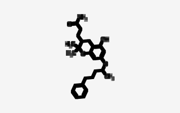 CC(CCCc1ccccc1)Oc1cc(O)c2c(c1)OC(C)(C)C(CCC(N)=O)C2